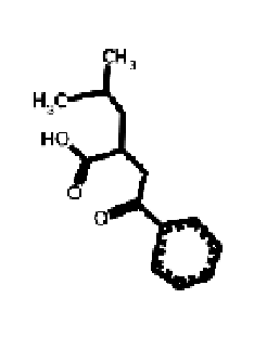 CC(C)CC(CC(=O)c1ccccc1)C(=O)O